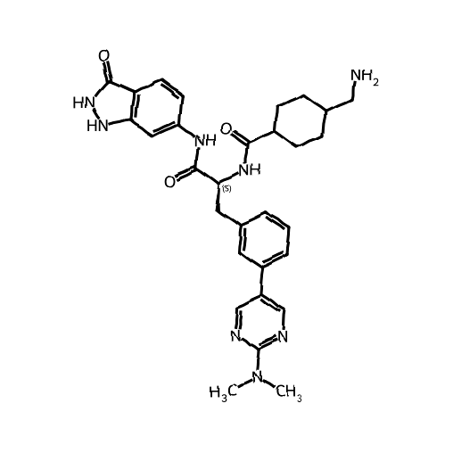 CN(C)c1ncc(-c2cccc(C[C@H](NC(=O)C3CCC(CN)CC3)C(=O)Nc3ccc4c(=O)[nH][nH]c4c3)c2)cn1